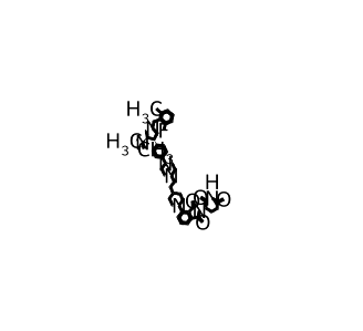 Cc1cccc(F)c1CN1C[C@H](c2ccc(N3CCN(CCC4CCN(c5cccc6c5C(=O)N(C5CCC(=O)NC5=O)C6=O)CC4)CC3)cc2)[C@@H](N(C)C)C1